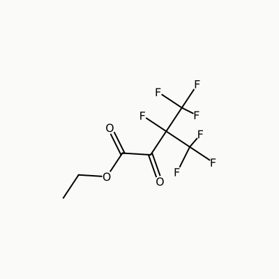 CCOC(=O)C(=O)C(F)(C(F)(F)F)C(F)(F)F